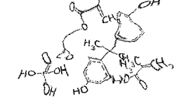 C=C(C)C(=O)O.C=C(C)C(=O)OCC1CO1.CC(C)(c1ccc(O)cc1)c1ccc(O)cc1.O=P(O)(O)O